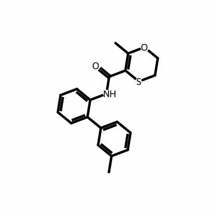 CC1=C(C(=O)Nc2ccccc2-c2cccc(C)c2)SCCO1